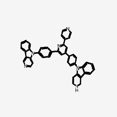 C1=Cc2c(c3ccccc3n2-c2ccc(-c3cc(-c4ccncc4)nc(-c4ccc(-n5c6ccccc6c6cnccc65)cc4)c3)cc2)CN1